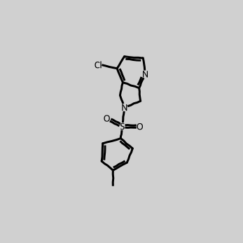 Cc1ccc(S(=O)(=O)N2Cc3nccc(Cl)c3C2)cc1